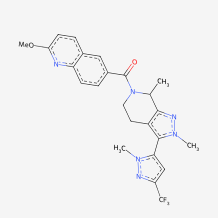 COc1ccc2cc(C(=O)N3CCc4c(nn(C)c4-c4cc(C(F)(F)F)nn4C)C3C)ccc2n1